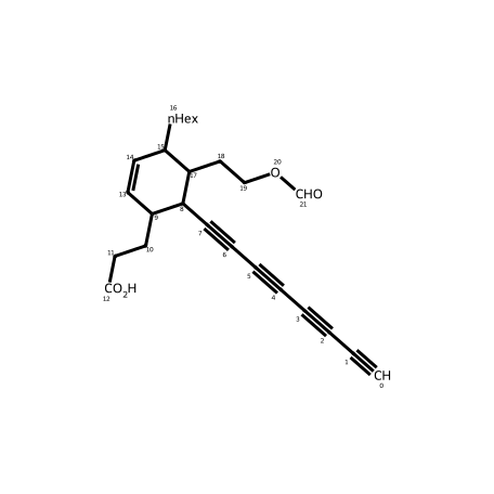 C#CC#CC#CC#CC1C(CCC(=O)O)C=CC(CCCCCC)C1CCOC=O